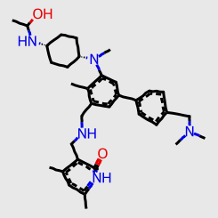 Cc1cc(C)c(CNCc2cc(-c3ccc(CN(C)C)cc3)cc(N(C)[C@H]3CC[C@@H](NC(C)O)CC3)c2C)c(=O)[nH]1